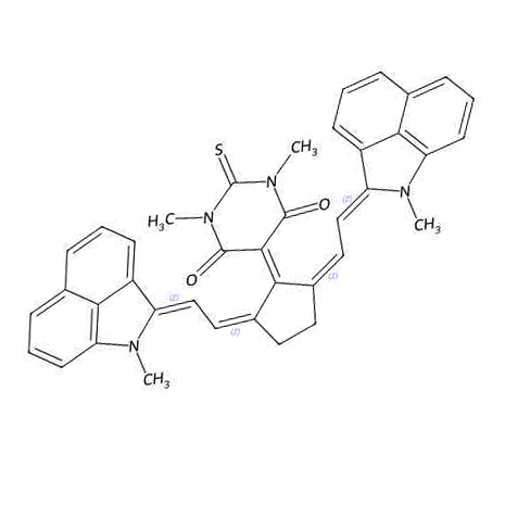 CN1C(=O)C(=C2/C(=C\C=c3\c4cccc5cccc(c54)n3C)CC/C2=C/C=c2/c3cccc4cccc(c43)n2C)C(=O)N(C)C1=S